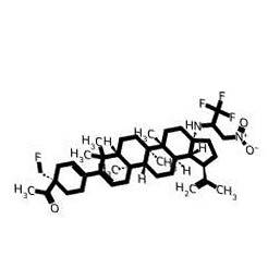 C=C(C)[C@@H]1CC[C@]2(NC(C[N+](=O)[O-])C(F)(F)F)CC[C@]3(C)[C@H](CC[C@@H]4[C@@]5(C)CC=C(C6=CC[C@](CF)(C(C)=O)CC6)C(C)(C)[C@@H]5CC[C@]43C)[C@@H]12